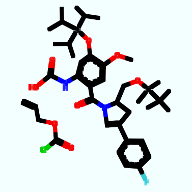 C=CCOC(=O)Cl.COc1cc(C(=O)N2C=C(c3ccc(F)cc3)CC2CO[Si](C)(C)C(C)(C)C)c(NC(=O)O)cc1O[Si](C(C)C)(C(C)C)C(C)C